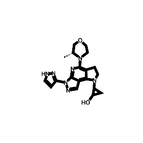 C[C@@H]1COCCN1c1nc2c(cnn2-c2cc[nH]n2)c2c1CCN2C1CC1O